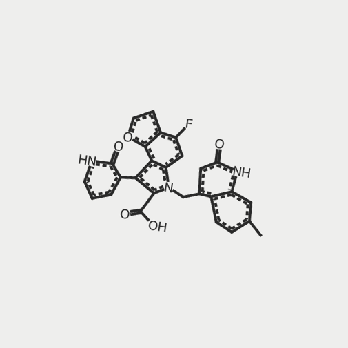 Cc1ccc2c(Cn3c(C(=O)O)c(-c4ccc[nH]c4=O)c4c5occc5c(F)cc43)cc(=O)[nH]c2c1